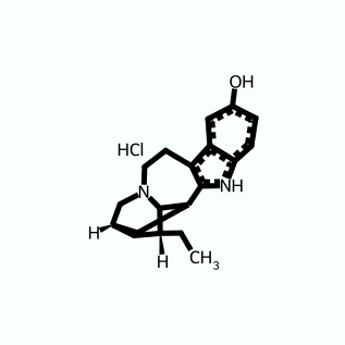 CC[C@@H]1C[C@H]2CC3c4[nH]c5ccc(O)cc5c4CCN(C2)C31.Cl